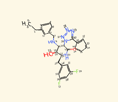 CCc1cccc(CNC[C@H](O)[C@H](Cc2cc(F)cc(F)c2)NC(=O)Cn2nnnc2-c2ccccc2)c1